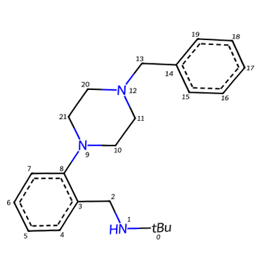 CC(C)(C)NCc1ccccc1N1CCN(Cc2ccccc2)CC1